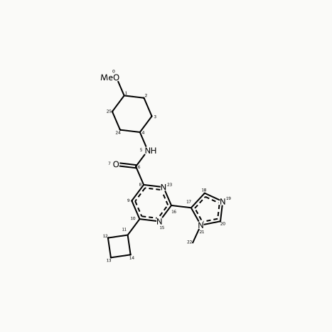 COC1CCC(NC(=O)c2cc(C3CCC3)nc(-c3cncn3C)n2)CC1